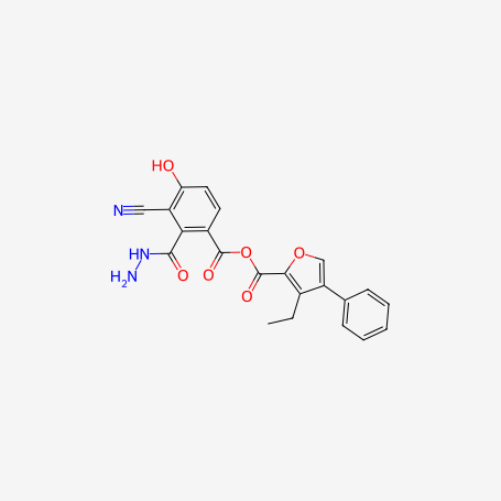 CCc1c(-c2ccccc2)coc1C(=O)OC(=O)c1ccc(O)c(C#N)c1C(=O)NN